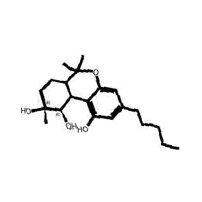 CCCCCc1cc(O)c2c(c1)OC(C)(C)C1CC[C@@](C)(O)[C@H](O)C21